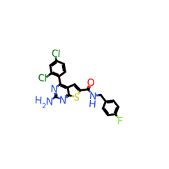 Nc1nc(-c2ccc(Cl)cc2Cl)c2cc(C(=O)NCc3ccc(F)cc3)sc2n1